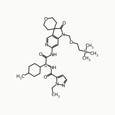 CCn1nccc1C(=O)N[C@H](C(=O)Nc1cc2c(cn1)C1(CCOCC1)C(=O)N2COCC[Si](C)(C)C)C1CCC(C)CC1